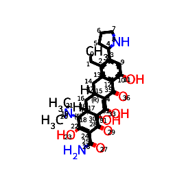 CCc1c(C2CCCN2)cc(O)c2c1C[C@H]1C[C@H]3[C@H](N(C)C)C(O)=C(C(N)=O)C(=O)[C@@]3(O)C(O)=C1C2=O